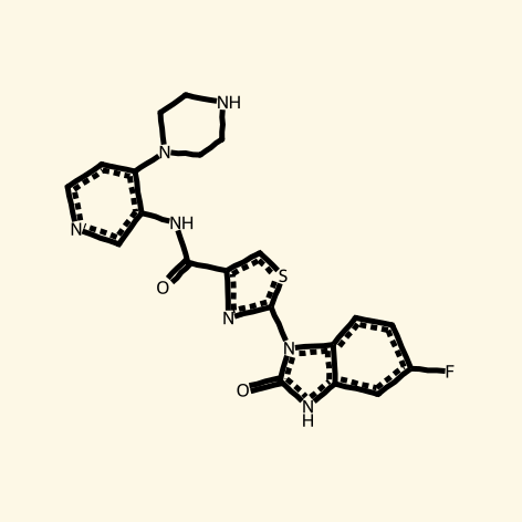 O=C(Nc1cnccc1N1CCNCC1)c1csc(-n2c(=O)[nH]c3cc(F)ccc32)n1